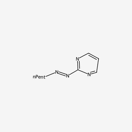 CCCCC/N=N/c1ncccn1